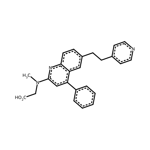 CN(CC(=O)O)c1cc(-c2ccccc2)c2cc(CCc3ccncc3)ccc2n1